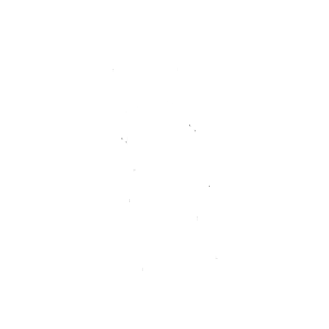 O=C1N=c2cc(Cl)c(Cl)cc2=NC1=O